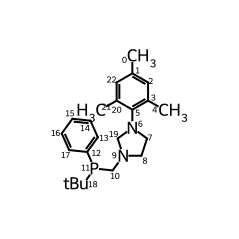 Cc1cc(C)c(N2CCN(CP(c3ccccc3)C(C)(C)C)C2)c(C)c1